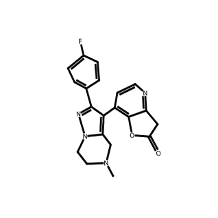 CN1CCn2nc(-c3ccc(F)cc3)c(-c3ccnc4c3OC(=O)C4)c2C1